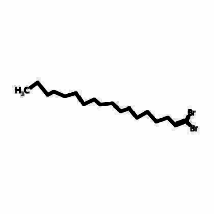 CCCCCCCCCCCCCCCCC=C(Br)Br